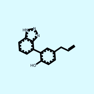 C=CCc1ccc(O)c(-c2cccc3[nH]nnc23)c1